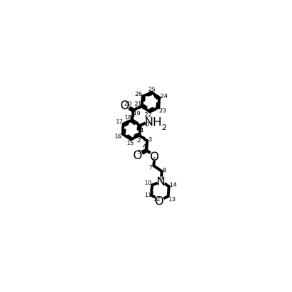 Nc1c(CC(=O)OCCN2CCOCC2)cccc1C(=O)c1ccccc1